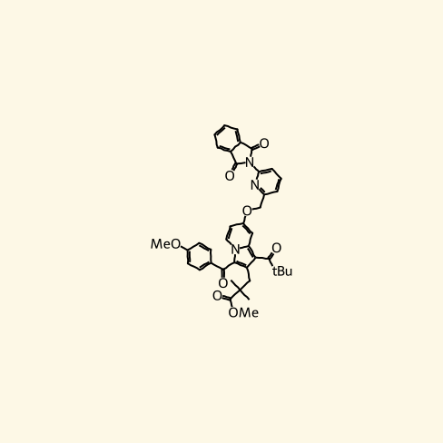 COC(=O)C(C)(C)Cc1c(C(=O)C(C)(C)C)c2cc(OCc3cccc(N4C(=O)c5ccccc5C4=O)n3)ccn2c1C(=O)c1ccc(OC)cc1